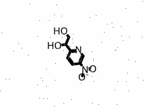 O=[N+]([O-])c1ccc(C(O)CO)nc1